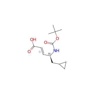 CC(C)(C)OC(=O)N[C@H](/C=C/C(=O)O)CC1CC1